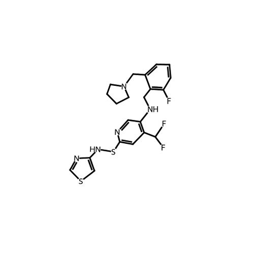 Fc1cccc(CN2CCCC2)c1CNc1cnc(SNc2cscn2)cc1C(F)F